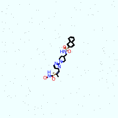 C/C(=C/c1ccnc(N2CCC(CNS(=O)(=O)c3ccc4ccccc4c3)CC2)n1)SC(=O)NC=O